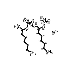 CCCCCCC(C)O[PH](=O)[O-].CCCCCCC(C)O[PH](=O)[O-].[Ni+2]